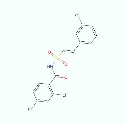 O=C(NS(=O)(=O)C=Cc1cccc(Cl)c1)c1ccc(Cl)cc1Cl